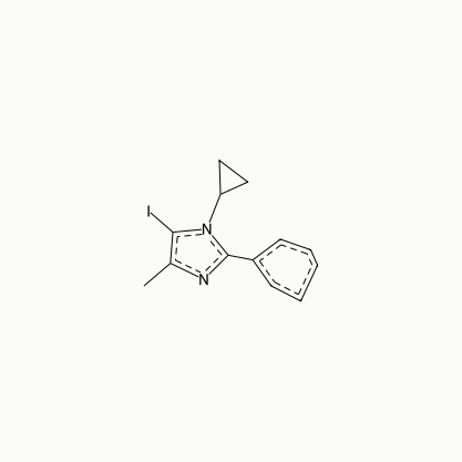 Cc1nc(-c2ccccc2)n(C2CC2)c1I